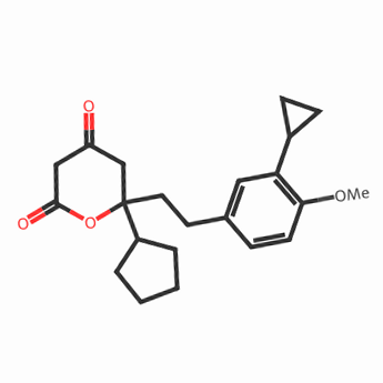 COc1ccc(CCC2(C3CCCC3)CC(=O)CC(=O)O2)cc1C1CC1